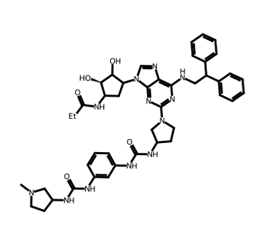 CCC(=O)NC1CC(n2cnc3c(NCC(c4ccccc4)c4ccccc4)nc(N4CCC(NC(=O)Nc5cccc(NC(=O)NC6CCN(C)C6)c5)C4)nc32)C(O)[C@@H]1O